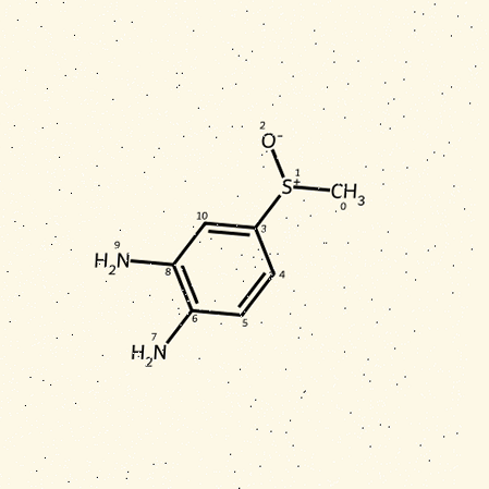 C[S+]([O-])c1ccc(N)c(N)c1